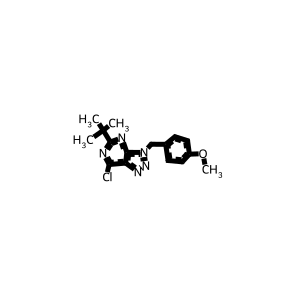 COc1ccc(Cn2nnc3c(Cl)nc(C(C)(C)C)nc32)cc1